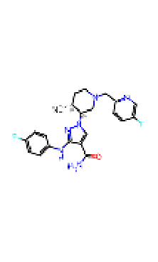 N#C[C@@H]1CCN(Cc2ccc(F)cn2)C[C@H]1n1cc(C(N)=O)c(Nc2ccc(F)cc2)n1